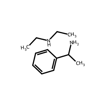 CC(N)c1ccccc1.CCNCC